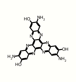 Nc1cc2nc3c4nc5cc(O)c(N)cc5nc4c4nc5cc(O)c(N)cc5nc4c3nc2cc1O